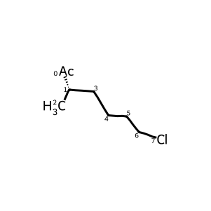 CC(=O)[C@@H](C)CCCCCl